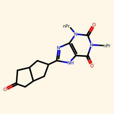 CCCn1c(=O)c2[nH]c(C3CC4CC(=O)CC4C3)nc2n(CCC)c1=O